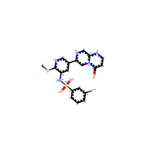 COc1ncc(-c2cn3c(=O)ccnc3cn2)cc1NS(=O)(=O)c1cccc(F)c1